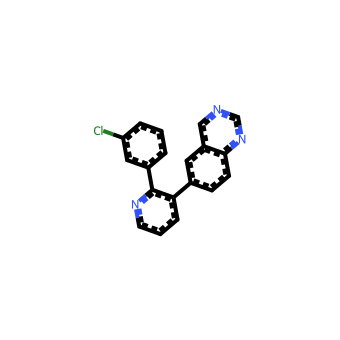 Clc1cccc(-c2ncccc2-c2ccc3ncncc3c2)c1